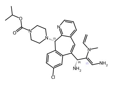 C=CN(C)/C(=C\N)[C@H](N)C1=Cc2cccnc2[C@@H](N2CCN(C(=O)OC(C)C)CC2)c2ccc(Cl)cc21